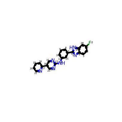 Fc1ccc2nc(-c3cccc(Nc4ncc(-c5ccccn5)cn4)c3)[nH]c2c1